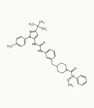 CO[C@@H](C(=O)N1CCC(Cc2cccc(NC(=O)Nc3cc(C(C)(C)C)nn3-c3ccc(C)cc3)c2)CC1)c1ccccc1